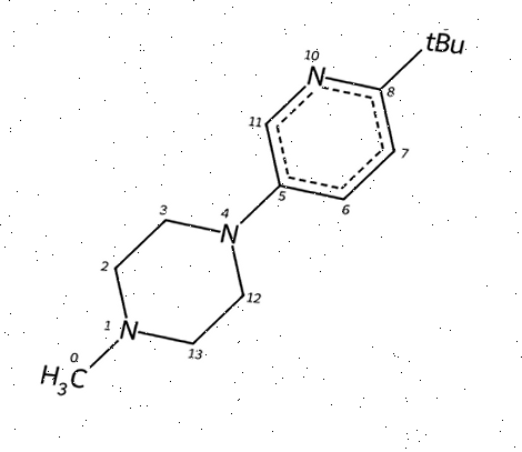 CN1CCN(c2ccc(C(C)(C)C)nc2)CC1